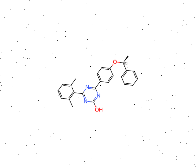 Cc1cccc(C)c1-c1nc(O)nc(-c2ccc(O[C@@H](C)c3ccccc3)cc2)n1